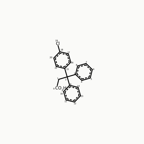 O=C(O)CC(c1ccccc1)(c1ccccc1)c1ccc(Cl)cc1